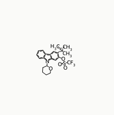 C[Si](C)(C)c1cc2c3ccccc3n(C3CCCCO3)c2cc1OS(=O)(=O)C(F)(F)F